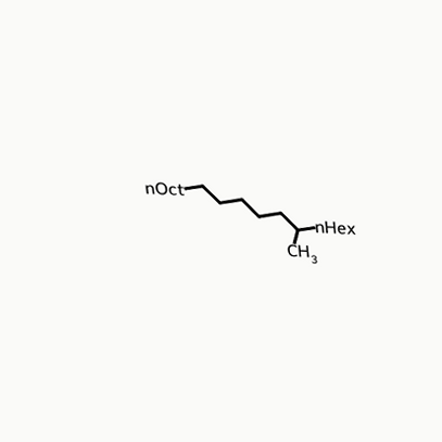 [CH2]CCCCCCCCCCCCC(C)CCCCC[CH2]